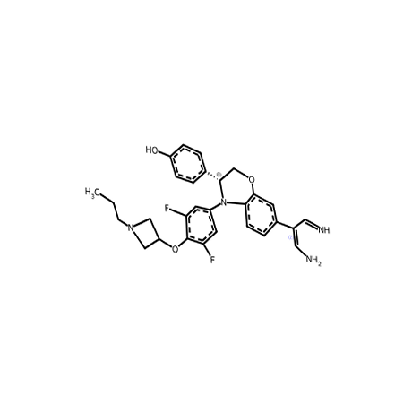 CCCN1CC(Oc2c(F)cc(N3c4ccc(/C(C=N)=C/N)cc4OC[C@H]3c3ccc(O)cc3)cc2F)C1